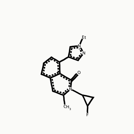 CCn1cc(-c2cccc3cc(C)n(C4CC4F)c(=O)c23)cn1